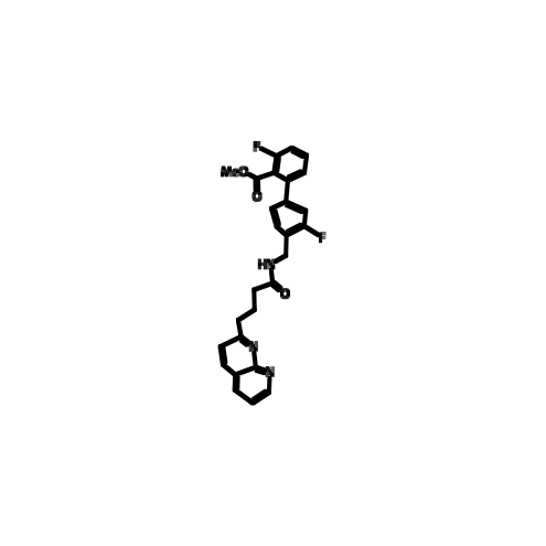 COC(=O)c1c(F)cccc1-c1ccc(CNC(=O)CCCc2ccc3cccnc3n2)c(F)c1